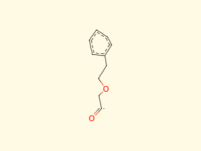 O=[C]COCCc1ccccc1